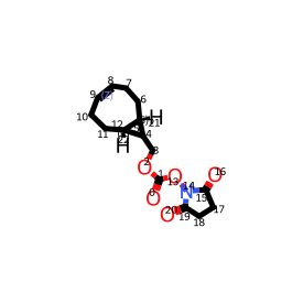 O=C(OCC1[C@H]2CC/C=C\CC[C@@H]12)ON1C(=O)CCC1=O